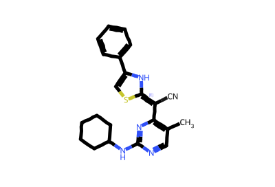 Cc1cnc(NC2CCCCC2)nc1/C(C#N)=C1/NC(c2ccccc2)=CS1